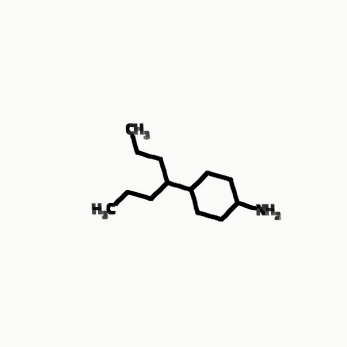 CCCC(CCC)C1CCC(N)CC1